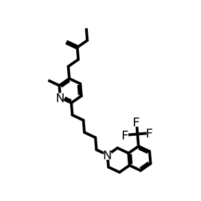 C=C(CC)CCc1ccc(CCCCCN2CCc3cccc(C(F)(F)F)c3C2)nc1C